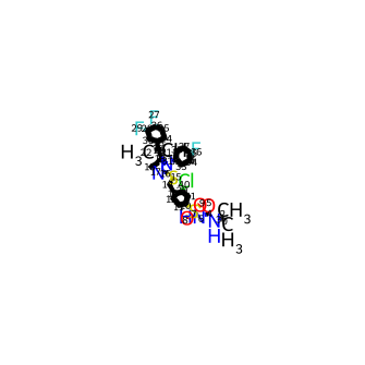 CC(C)NC(=O)NS(=O)(=O)c1ccc(CSc2ncc(C(C)(C)c3ccc(F)c(F)c3)n2-c2ccc(F)cc2)c(Cl)c1